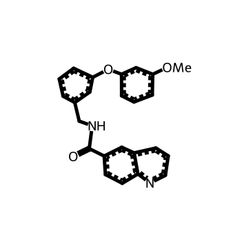 COc1cccc(Oc2cccc(CNC(=O)c3ccc4ncccc4c3)c2)c1